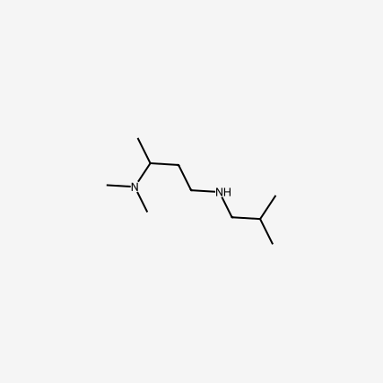 CC(C)CNCCC(C)N(C)C